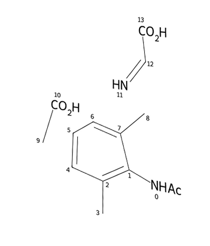 CC(=O)Nc1c(C)cccc1C.CC(=O)O.N=CC(=O)O